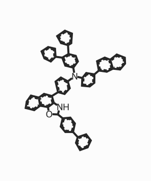 c1ccc(-c2ccc(C3Nc4c(-c5ccc(N(c6cccc(-c7ccc8ccccc8c7)c6)c6ccc(-c7ccccc7)c(-c7ccccc7)c6)cc5)cc5ccccc5c4O3)cc2)cc1